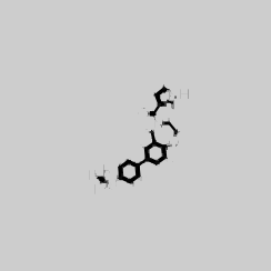 O=C(c1cc[nH]n1)N1CCOc2ccc(-c3ccc(OC(F)(F)F)cc3)cc2C1